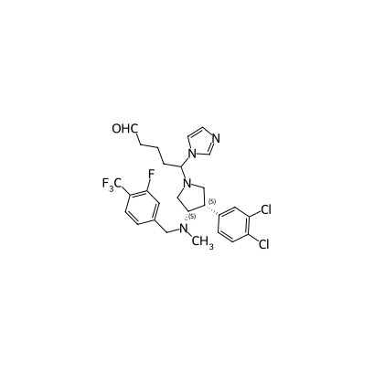 CN(Cc1ccc(C(F)(F)F)c(F)c1)[C@@H]1CN(C(CCCC=O)n2ccnc2)C[C@@H]1c1ccc(Cl)c(Cl)c1